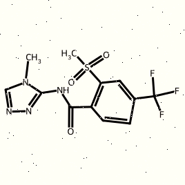 Cn1cnnc1NC(=O)c1ccc(C(F)(F)F)cc1S(C)(=O)=O